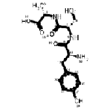 C[C@H](NC(=O)[C@H](CO)NC(=O)[C@@H](N)Cc1ccc(O)cc1)C(=O)O